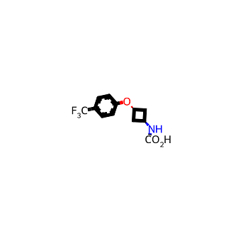 O=C(O)N[C@H]1C[C@H](Oc2ccc(C(F)(F)F)cc2)C1